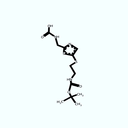 CC(C)(C)OC(=O)NCCSc1cnc(CNC(=O)O)s1